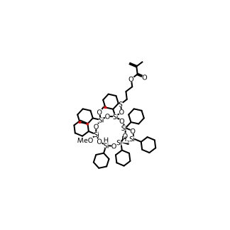 C=C(C)C(=O)OCCCSO[Si]1(C2CCCCC2)O[Si](OI)(C2CCCCC2)O[Si](OC)(C2CCCCC2)O[SiH](C2CCCCC2)O[Si@@](C)(C2CCCCC2)O[Si](O[SiH2]C2CCCCC2)(C2CCCCC2)O1